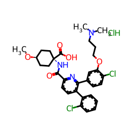 CO[C@H]1CC[C@@](NC(=O)c2ccc(-c3ccccc3Cl)c(-c3ccc(Cl)c(OCCCN(C)C)c3)n2)(C(=O)O)CC1.Cl